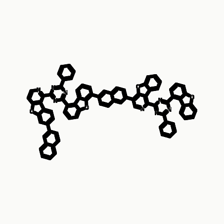 c1ccc(-c2nc(-c3nccc4oc5cc(-c6ccc7ccccc7c6)ccc5c34)nc(-c3cccc4oc5c(-c6ccc7cc(-c8cnc(-c9nc(-c%10ccccc%10)nc(-c%10cccc%11oc%12ccccc%12c%10%11)n9)c9c8oc8ccccc89)ccc7c6)cccc5c34)n2)cc1